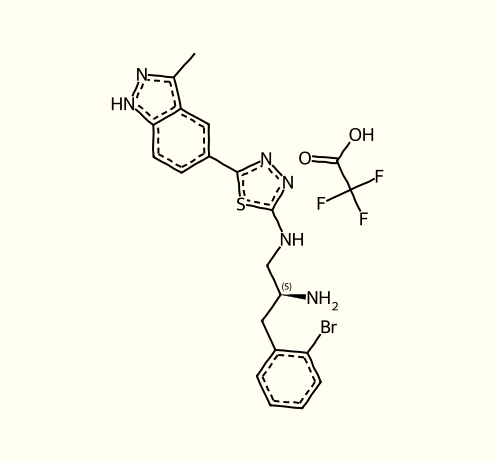 Cc1n[nH]c2ccc(-c3nnc(NC[C@@H](N)Cc4ccccc4Br)s3)cc12.O=C(O)C(F)(F)F